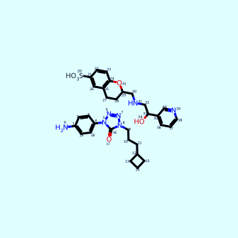 Nc1ccc(-n2nnn(CCCC3CCC3)c2=O)cc1.O=S(=O)(O)c1ccc2c(c1)CCC(CNCC(O)c1cccnc1)O2